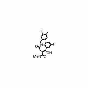 CNC(=O)C1=C(O)c2cc(F)ccc2N(Cc2ccc(C)c(F)c2)C(=O)C1